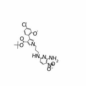 COc1cc(Cl)ccc1-c1cn(CCCNc2ccc([N+](=O)[O-])c(N)n2)cc1C(=O)OC(C)(C)C